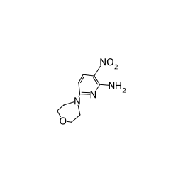 Nc1nc(N2CCOCC2)ccc1[N+](=O)[O-]